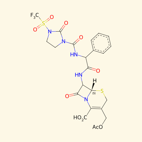 CC(=O)OCC1=C(C(=O)O)N2C(=O)C(NC(=O)C(NC(=O)N3CCN(S(=O)(=O)C(F)(F)F)C3=O)c3ccccc3)[C@@H]2SC1